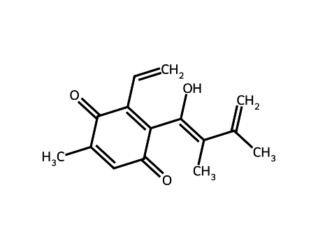 C=CC1=C(/C(O)=C(\C)C(=C)C)C(=O)C=C(C)C1=O